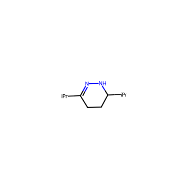 CC(C)C1=NNC(C(C)C)CC1